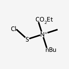 CCCC[N+](C)(SCl)C(=O)OCC